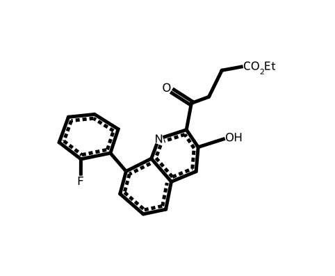 CCOC(=O)CCC(=O)c1nc2c(-c3ccccc3F)cccc2cc1O